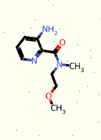 COCCN(C)C(=O)c1ncccc1N